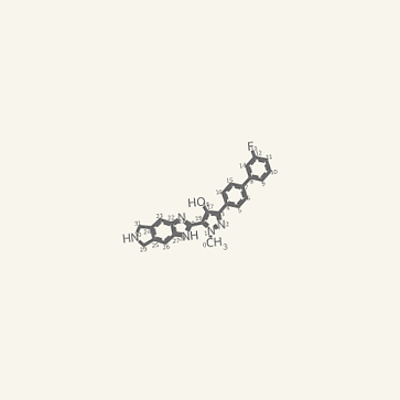 Cn1nc(-c2ccc(-c3cccc(F)c3)cc2)c(O)c1-c1nc2cc3c(cc2[nH]1)CNC3